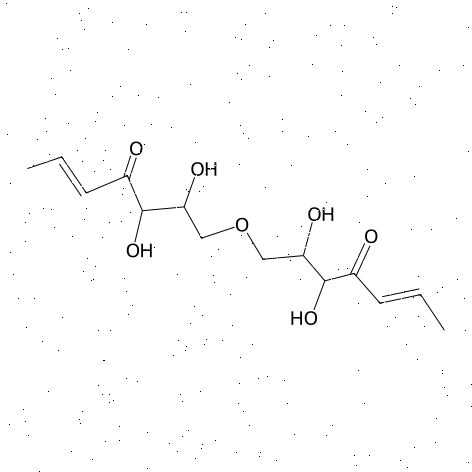 CC=CC(=O)C(O)C(O)COCC(O)C(O)C(=O)C=CC